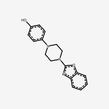 Oc1ccc(N2CCN(c3nc4ccccc4o3)CC2)cc1